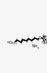 CCCCCCCCCCCCCCCCOP(O)(O)=S.N